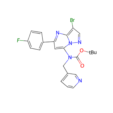 CC(C)(C)OC(=O)N(Cc1cccnc1)c1cc(-c2ccc(F)cc2)nc2c(Br)cnn12